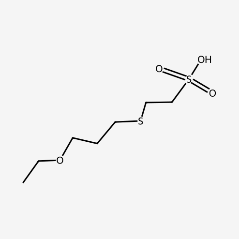 CCOCCCSCCS(=O)(=O)O